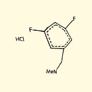 CNCc1cc(F)cc(F)c1.Cl